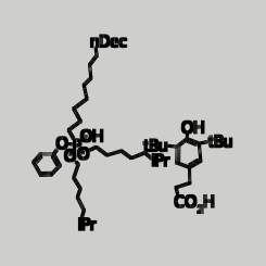 CC(C)(C)c1cc(CCC(=O)O)cc(C(C)(C)C)c1O.CCCCCCCCCCCCCCCCCCP(O)(OCCCCCC(C)C)(OCCCCCC(C)C)Oc1ccccc1